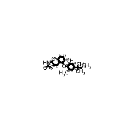 CCC(C)(C)c1cc(C)c(Oc2ccccc2C=C2SC(=O)NC2=O)c(C)c1